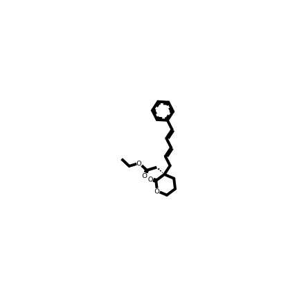 CCOC(=O)C[C@]1(C/C=C/C=C/c2ccccc2)CCCOC1=O